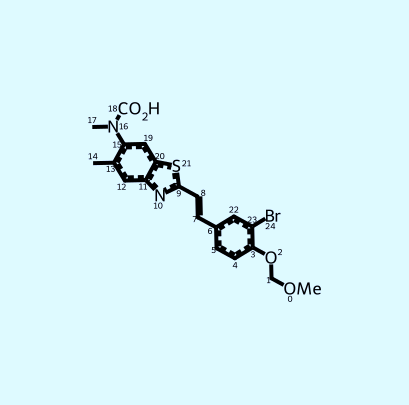 COCOc1ccc(/C=C/c2nc3cc(C)c(N(C)C(=O)O)cc3s2)cc1Br